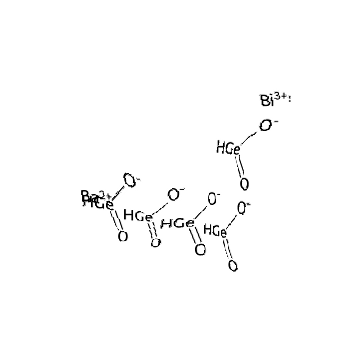 [Ba+2].[Bi+3].[O]=[GeH][O-].[O]=[GeH][O-].[O]=[GeH][O-].[O]=[GeH][O-].[O]=[GeH][O-]